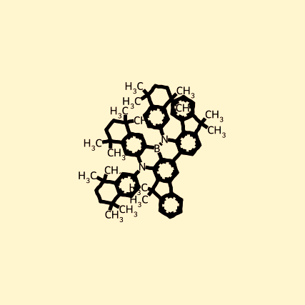 CC1(C)CCC(C)(C)c2cc(N3B4c5cc6c(cc5N(c5ccc7c(c5)C(C)(C)CCC7(C)C)c5c4c(cc4c5C(C)(C)c5ccccc5-4)-c4ccc5c(c43)-c3ccccc3C5(C)C)C(C)(C)CCC6(C)C)ccc21